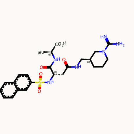 CCC(C)[C@H](NC(=O)[C@H](CC(=O)NC[C@@H]1CCCN(C(=N)N)C1)NS(=O)(=O)c1ccc2ccccc2c1)C(=O)O